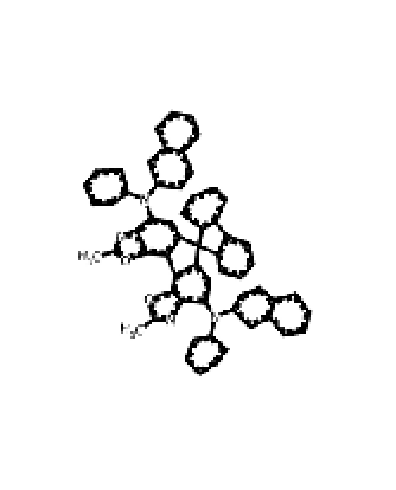 Cc1nc2c(N(c3ccccc3)c3ccc4ccccc4c3)cc3c(c2o1)-c1c(cc(N(c2ccccc2)c2ccc4ccccc4c2)c2nc(C)oc12)C31c2ccccc2-c2ccccc21